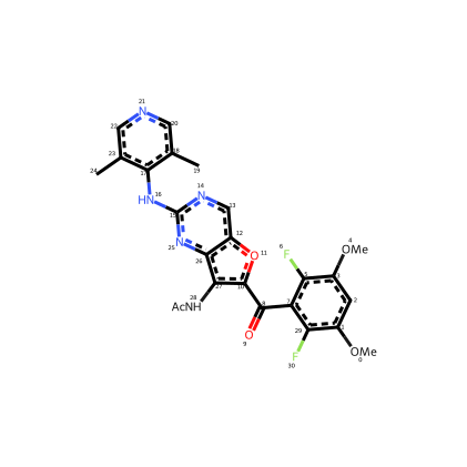 COc1cc(OC)c(F)c(C(=O)c2oc3cnc(Nc4c(C)cncc4C)nc3c2NC(C)=O)c1F